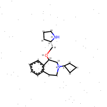 c1ccc2c(c1)CCN(C1CCC1)CC2OC[C@@H]1CCCN1